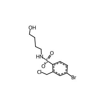 O=S(=O)(NCCCCO)c1ccc(Br)cc1CCl